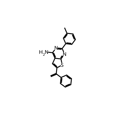 C=C(c1ccccc1)c1cc2c(N)nc(-c3cccc(C)c3)nc2s1